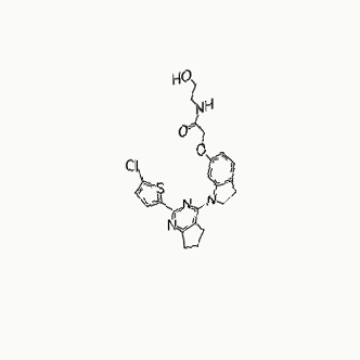 O=C(COc1ccc2c(c1)N(c1nc(-c3ccc(Cl)s3)nc3c1CCC3)CC2)NCCO